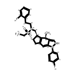 C[C@H]1C2=CNN(c3ccc(F)cc3)C2=CC2=C1[C@H](CN(CCc1ccccc1F)S(=O)(=O)CC(F)(F)F)CC2